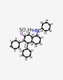 O=S(=O)(O)c1c(I)c(-c2ccccc2)c(-c2ccccc2)c2cccc(Nc3ccccc3)c12